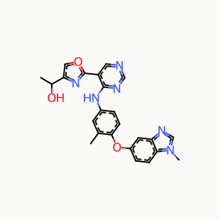 Cc1cc(Nc2ncncc2-c2nc(C(C)O)co2)ccc1Oc1ccc2c(c1)ncn2C